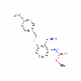 COc1ccc(CSc2cccc(NC(=O)OC(C)(C)C)c2C=N)cc1